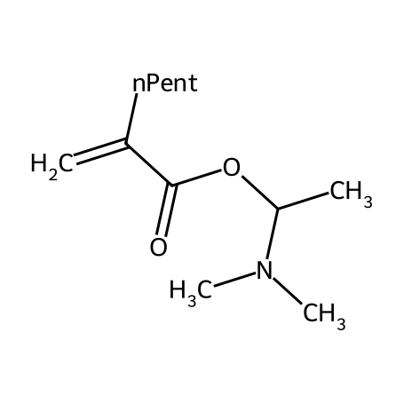 C=C(CCCCC)C(=O)OC(C)N(C)C